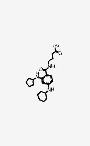 O=C(O)CCCNC(=O)c1ccc(NC2CCCCC2)cc1NC1CCCC1